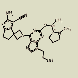 C[C@H](Oc1nc(N2CC3(CCc4sc(N)c(C#N)c43)C2)c2ncn(CCO)c2n1)[C@@H]1CCCN1C